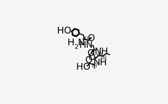 CC[C@H](C)[C@H](NC(=O)CNC(=O)[C@@H](N)Cc1ccc(O)cc1)C(=O)N[C@@H](C)C(=O)O